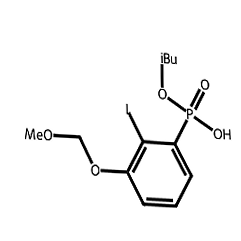 CCC(C)OP(=O)(O)c1cccc(OCOC)c1I